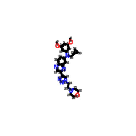 COc1cc(OC)cc(N(CC2CC2)c2ccc3ncc(-c4cn(CCN5CCOCC5)nn4)nc3c2)c1